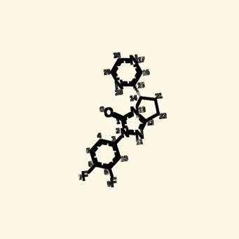 O=c1n(-c2ccc(F)c(F)c2)nc2n1[C@H](c1cnccn1)CC2